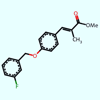 COC(=O)/C(C)=C/c1ccc(OCc2cccc(F)c2)cc1